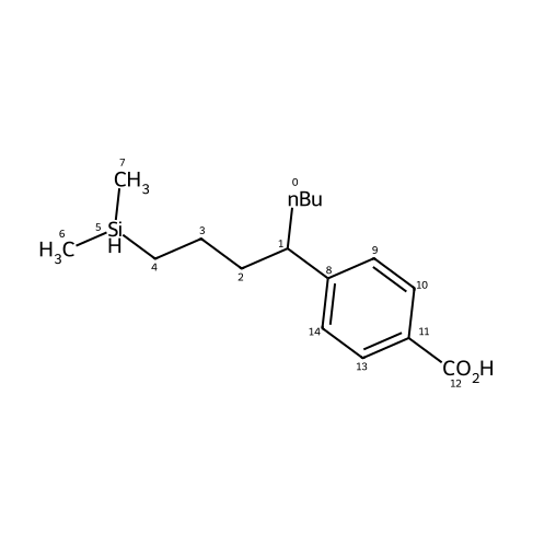 CCCCC(CCC[SiH](C)C)c1ccc(C(=O)O)cc1